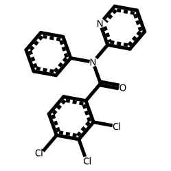 O=C(c1ccc(Cl)c(Cl)c1Cl)N(c1ccccc1)c1ccccn1